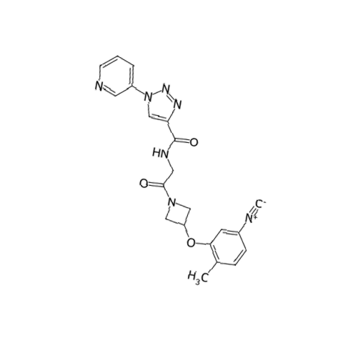 [C-]#[N+]c1ccc(C)c(OC2CN(C(=O)CNC(=O)c3cn(-c4cccnc4)nn3)C2)c1